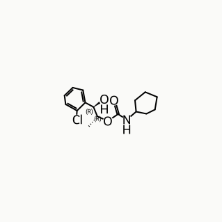 C[C@@H](OC(=O)NC1CCCCC1)[C@H](O)c1ccccc1Cl